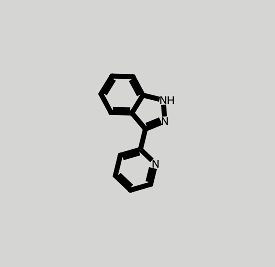 c1ccc(-c2n[nH]c3ccccc23)nc1